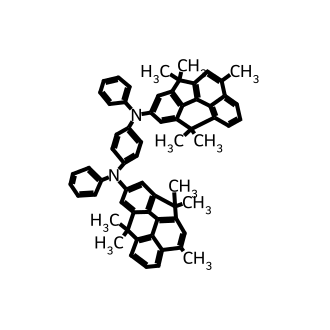 Cc1cc2c3c4c(cccc14)C(C)(C)c1cc(N(c4ccccc4)c4ccc(N(c5ccccc5)c5cc6c7c(c5)C(C)(C)c5cccc8c(C)cc(c-7c58)C6(C)C)cc4)cc(c1-3)C2(C)C